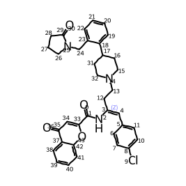 O=C(N/C(=C\c1ccc(Cl)cc1)CCN1CCC(c2ccccc2CN2CCCC2=O)CC1)c1cc(=O)c2ccccc2o1